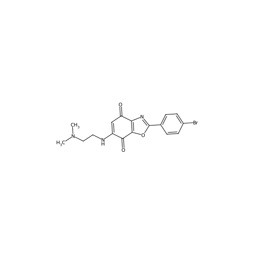 CN(C)CCNC1=CC(=O)c2nc(-c3ccc(Br)cc3)oc2C1=O